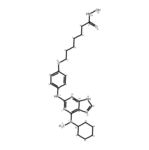 CN(c1nc(Nc2ccc(OCCCCCCC(=O)NO)cc2)nc2[nH]cnc12)C1CCCCC1